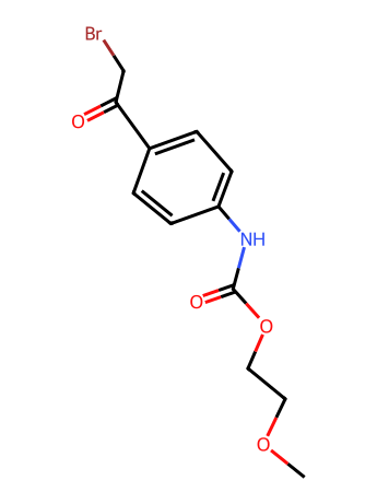 COCCOC(=O)Nc1ccc(C(=O)CBr)cc1